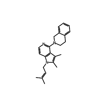 CC(C)=CCn1c(C)c(C)c2c(N3CCc4ccccc4C3)nccc21